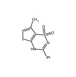 Cc1csc2c1S(=O)(=O)N=C(C(C)C)N2